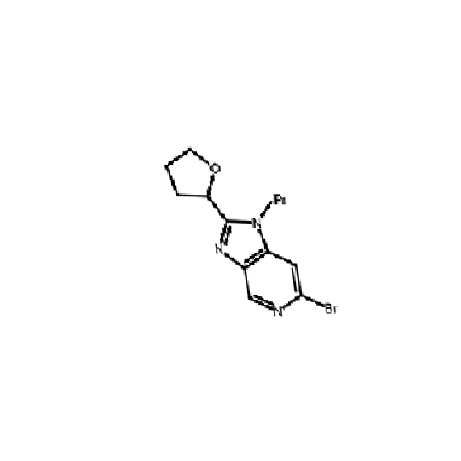 CC(C)n1c(C2CCCO2)nc2cnc(Br)cc21